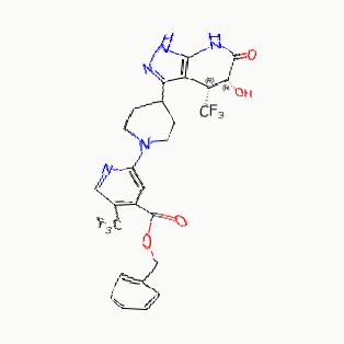 O=C(OCc1ccccc1)c1cc(N2CCC(c3n[nH]c4c3[C@@H](C(F)(F)F)[C@@H](O)C(=O)N4)CC2)ncc1C(F)(F)F